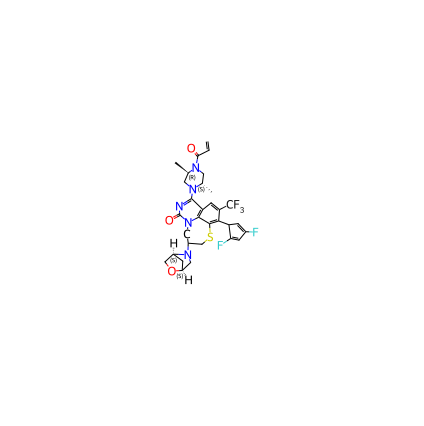 C=CC(=O)N1C[C@H](C)N(c2nc(=O)n3c4c(c(C5C=C(F)C=C5F)c(C(F)(F)F)cc24)SCC(N2C[C@@H]4C[C@H]2CO4)C3)C[C@H]1C